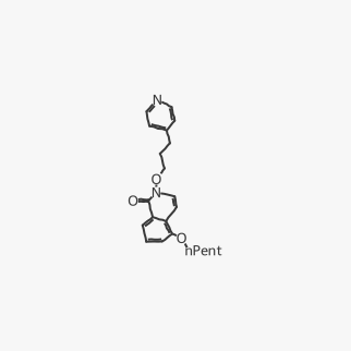 CCCCCOc1cccc2c(=O)n(OCCCc3ccncc3)ccc12